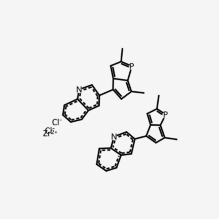 CC1=PC2=C(C)C=C(c3cnc4ccccc4c3)C2=C1.CC1=PC2=C(C)C=C(c3cnc4ccccc4c3)C2=C1.[Cl-].[Cl-].[Zr+2]